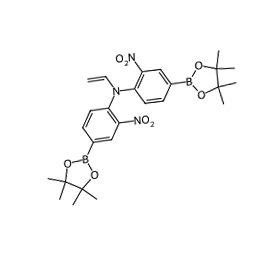 C=CN(c1ccc(B2OC(C)(C)C(C)(C)O2)cc1[N+](=O)[O-])c1ccc(B2OC(C)(C)C(C)(C)O2)cc1[N+](=O)[O-]